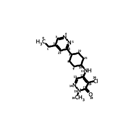 CCc1cnnc(C2CCC(Nc3cnn(C)c(=O)c3Cl)CC2)c1